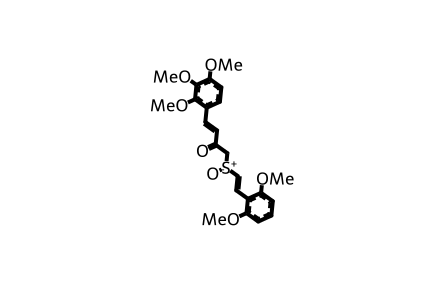 COc1cccc(OC)c1C=C[S+]([O-])CC(=O)C=Cc1ccc(OC)c(OC)c1OC